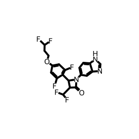 O=C1C(C(F)F)C(c2c(F)cc(OCCC(F)F)cc2F)N1c1ccc2[nH]cnc2c1